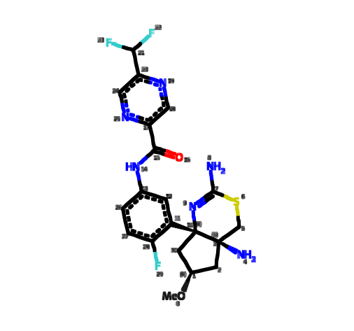 CO[C@@H]1C[C@@]2(N)CSC(N)=N[C@@]2(c2cc(NC(=O)c3cnc(C(F)F)cn3)ccc2F)C1